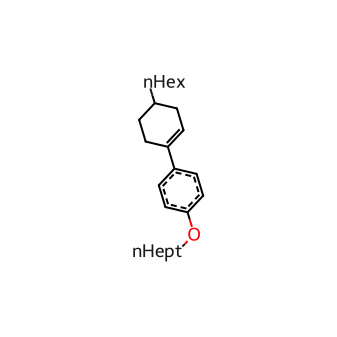 CCCCCCCOc1ccc(C2=CCC(CCCCCC)CC2)cc1